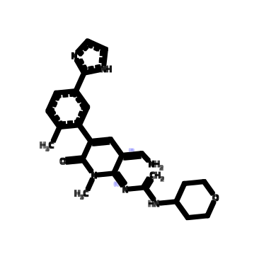 C=C(/N=C1\C(=C/N)C=C(c2cc(-c3ncc[nH]3)ccc2C)C(=O)N1C)NC1CCOCC1